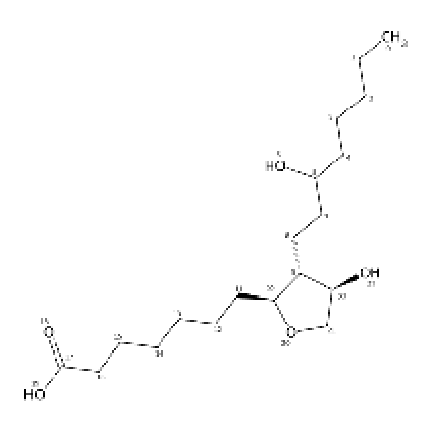 CCCCCC(O)CC[C@H]1[C@H](CCCCCCC(=O)O)OC[C@@H]1O